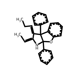 C/C=C1/NC2(c3ccccc3)Oc3ccccc3C2(c2ccccc2)/C1=C/CC